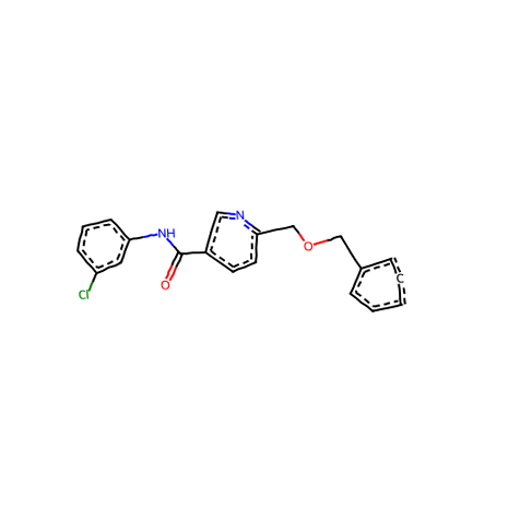 O=C(Nc1cccc(Cl)c1)c1ccc(COCc2ccccc2)nc1